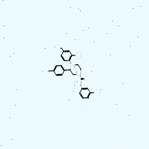 O=C(Nc1ccc(F)c(C(F)(F)F)c1)N1CCN(c2ccc(Cl)cc2Cl)C(c2ccc(Cl)cc2)C1